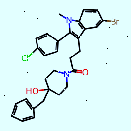 Cn1c(-c2ccc(Cl)cc2)c(CCC(=O)N2CCC(O)(Cc3ccccc3)CC2)c2cc(Br)ccc21